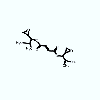 CC(C)C(OC(=O)/C=C/C(=O)OC(C(C)C)C1CO1)C1CO1